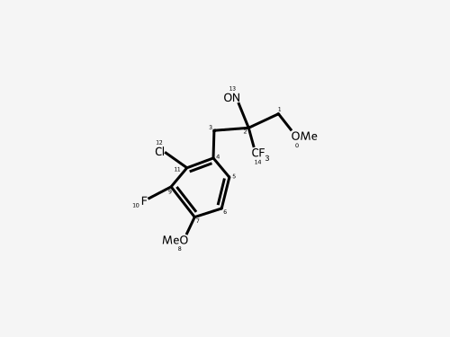 COCC(Cc1ccc(OC)c(F)c1Cl)(N=O)C(F)(F)F